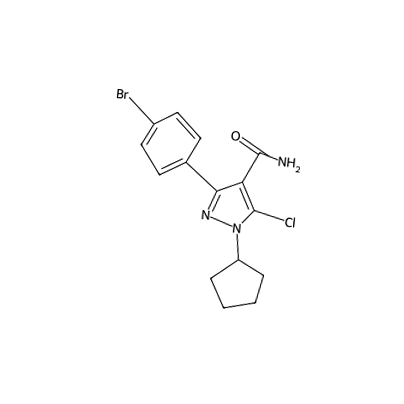 NC(=O)c1c(-c2ccc(Br)cc2)nn(C2CCCC2)c1Cl